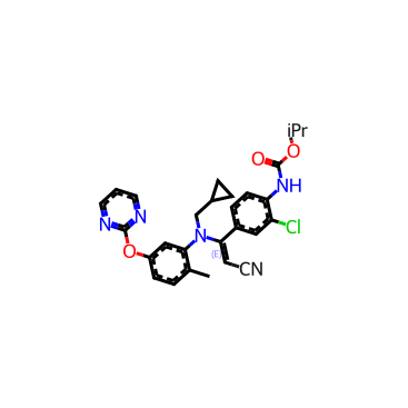 Cc1ccc(Oc2ncccn2)cc1N(CC1CC1)/C(=C/C#N)c1ccc(NC(=O)OC(C)C)c(Cl)c1